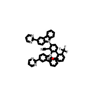 N#Cc1cccc(C(F)(F)F)c1-c1ccc(-n2c3ccccc3c3cc(-c4ncccn4)ccc32)c(C#N)c1-n1c2ccccc2c2cc(-c3ncccn3)ccc21